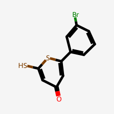 O=c1cc(S)sc(-c2cccc(Br)c2)c1